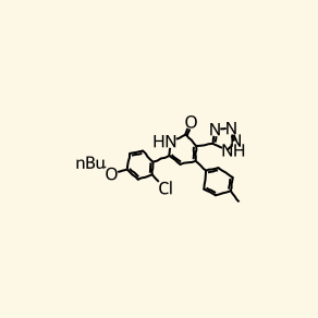 CCCCOc1ccc(-c2cc(-c3ccc(C)cc3)c(-c3nnn[nH]3)c(=O)[nH]2)c(Cl)c1